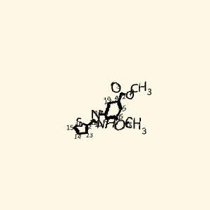 COC(=O)c1cc(OC)c2[nH]c(-c3cccs3)nc2c1